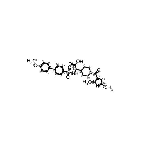 COc1ccc(-c2ccc(S(=O)(=O)NC(C(=O)O)C3CCN(C(=O)c4cc(C)nn4C)CC3)cc2)cc1